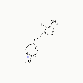 CO/C1=N/CCN(CCCc2cccc(N)c2F)CCO1